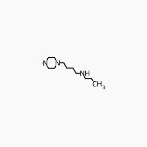 CCCNCCCCN1CC[N]CC1